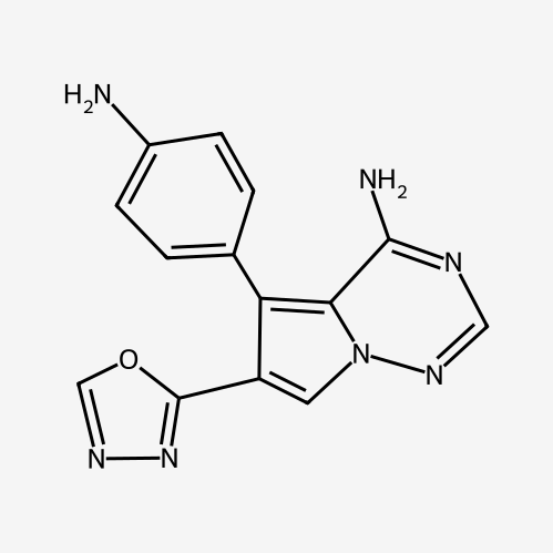 Nc1ccc(-c2c(-c3nnco3)cn3ncnc(N)c23)cc1